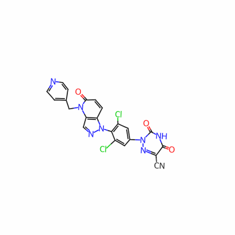 N#Cc1nn(-c2cc(Cl)c(-n3ncc4c3ccc(=O)n4Cc3ccncc3)c(Cl)c2)c(=O)[nH]c1=O